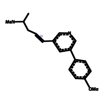 CNC(C)C/C=C/c1cncc(-c2ccc(OC)cc2)c1